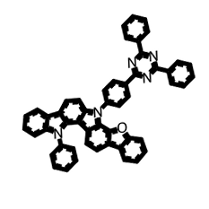 c1ccc(-c2nc(-c3ccccc3)nc(-c3ccc(-n4c5ccc6c7ccccc7n(-c7ccccc7)c6c5c5ccc6c7ccccc7oc6c54)cc3)n2)cc1